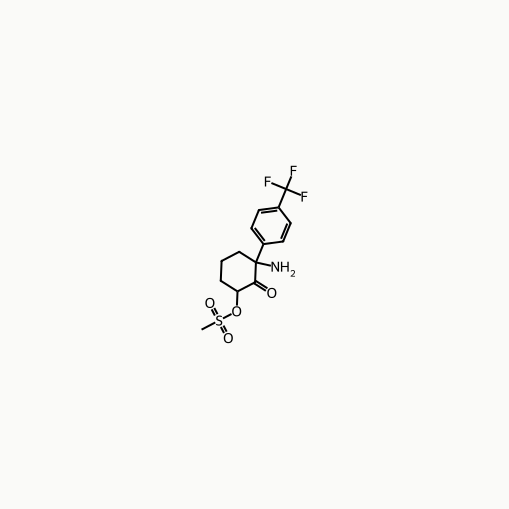 CS(=O)(=O)OC1CCCC(N)(c2ccc(C(F)(F)F)cc2)C1=O